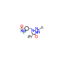 CC(C)c1cn(Cc2ccc(S(C)(=N)=O)c(F)c2)c2nc(C3CC3)nn2c1=O